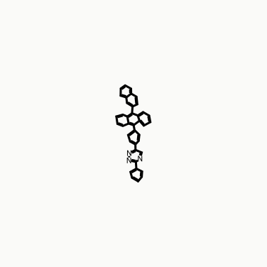 c1ccc(-c2ncc(-c3ccc(-c4c5ccccc5c(-c5ccc6ccccc6c5)c5ccccc45)cc3)nn2)cc1